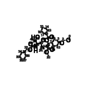 COCOc1ccc(C(OC(=O)c2ccccc2)[C@@H](C(=O)OC)N(C)C(=O)[C@@H](NC(=O)OCc2ccccc2)[C@@H](C)O)cc1